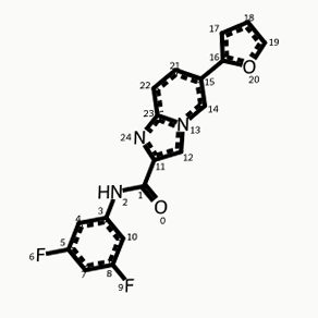 O=C(Nc1cc(F)cc(F)c1)c1cn2cc(-c3ccco3)ccc2n1